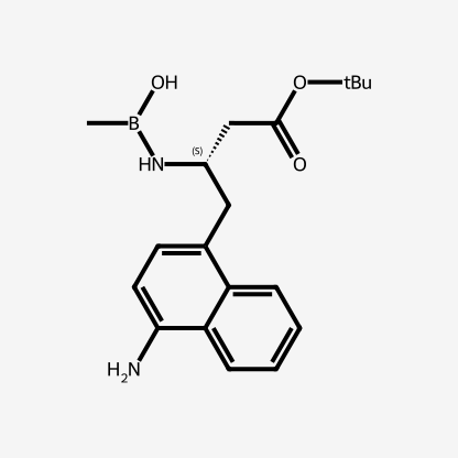 CB(O)N[C@H](CC(=O)OC(C)(C)C)Cc1ccc(N)c2ccccc12